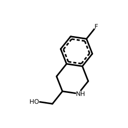 OCC1Cc2ccc(F)cc2CN1